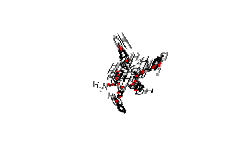 NCCCC[C@@H]1NC(=O)[C@@H](Cc2ccc(NS(=O)(=O)c3ccccc3)cc2)NC(=O)[C@H](Cc2ccc(O)cc2)NC(=O)[C@H](NC(=O)[C@@H](N)Cc2ccc(Cl)cc2)CSSC2[C@@H](C(=O)N[C@H](Cc3ccc(O)cc3)C(N)=O)NC(=O)[C@@H](NC1=O)[C@@H]2O